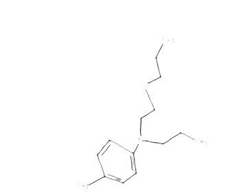 O=Nc1ccc(N(CCO)CCOCCO)cc1